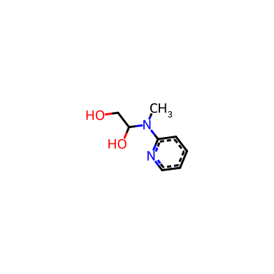 CN(c1ccccn1)C(O)CO